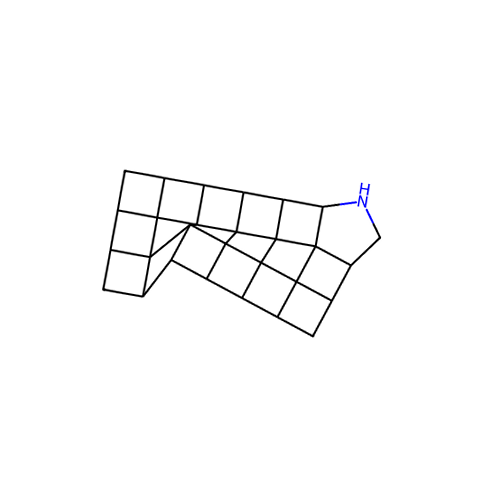 C1C2C3CC4C5C6C7C8NCC9C%10CC%11C%12C%13C%14C1C21C34C52C%141C%131C%123C%10%11C98C73C621